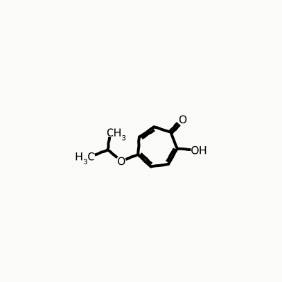 CC(C)Oc1ccc(O)c(=O)cc1